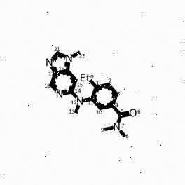 CCc1ccc(C(=O)N(C)C)cc1N(C)c1cc2c(cn1)ncn2C